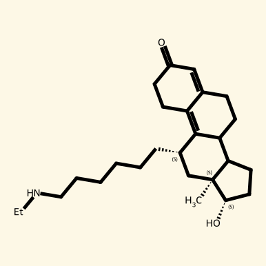 CCNCCCCCC[C@H]1C[C@@]2(C)C(CC[C@@H]2O)C2CCC3=CC(=O)CCC3=C21